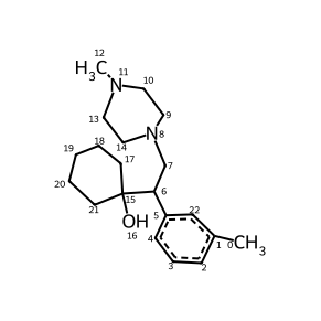 Cc1cccc(C(CN2CCN(C)CC2)C2(O)CCCCC2)c1